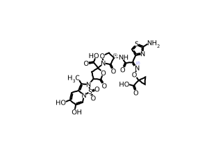 CC1=C2C=C(O)C(O)=CN2S(=O)(=O)N1C1CC(C(=O)O)(N2OC[C@H](NC(=O)/C(=N\OC3(C(=O)O)CC3)c3csc(N)n3)C2=O)OC1=O